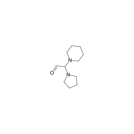 O=[C]C(N1CCCCC1)N1CCCC1